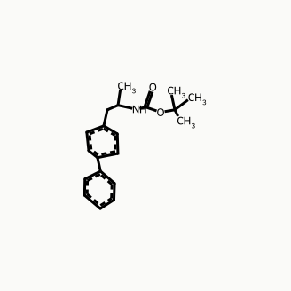 CC(Cc1ccc(-c2ccccc2)cc1)NC(=O)OC(C)(C)C